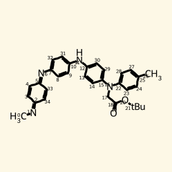 CN=C1C=CC(=Nc2ccc(Nc3ccc(N(CC(=O)OC(C)(C)C)c4ccc(C)cc4)cc3)cc2)C=C1